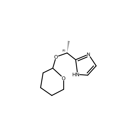 C[C@@H](OC1CCCCO1)c1ncc[nH]1